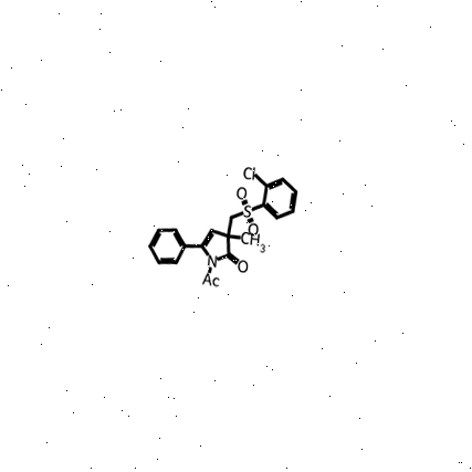 CC(=O)N1C(=O)C(C)(CS(=O)(=O)c2ccccc2Cl)C=C1c1ccccc1